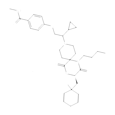 CCCCN1C(=O)[C@@H](CC2(O)CCCCC2)NC(=O)C12CCN(C(COc1ccc(C(=O)NC)cc1)C1CC1)CC2.Cl